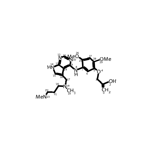 C=C(O)COc1cc(Nc2ncnc3[nH]cc(CN(C)CCCNC)c23)c(OC)cc1OC